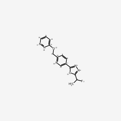 CC(F)c1nnc(-c2ccc(COc3cccnn3)nc2)o1